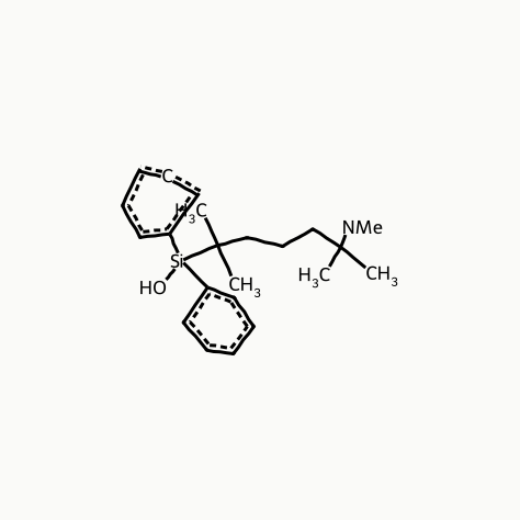 CNC(C)(C)CCCC(C)(C)[Si](O)(c1ccccc1)c1ccccc1